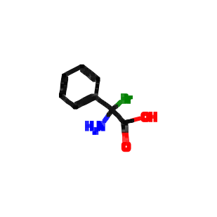 NC(Br)(C(=O)O)c1ccccc1